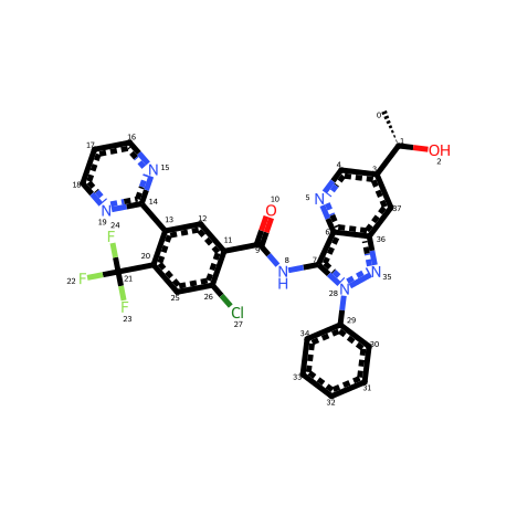 C[C@H](O)c1cnc2c(NC(=O)c3cc(-c4ncccn4)c(C(F)(F)F)cc3Cl)n(-c3ccccc3)nc2c1